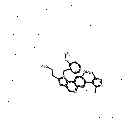 COCCc1nc2cnc3cc(-c4c(C)noc4C)c(OC)cc3c2n1Cc1ccccc1OC(F)(F)F